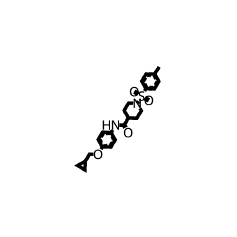 Cc1ccc(S(=O)(=O)N2CCC(C(=O)Nc3ccc(OCC4CC4)cc3)CC2)cc1